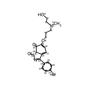 CN(CCO)CCCOC1=CC=C2C(c3ccc(Br)cc3)=N[S+]([O-])C2C1=O